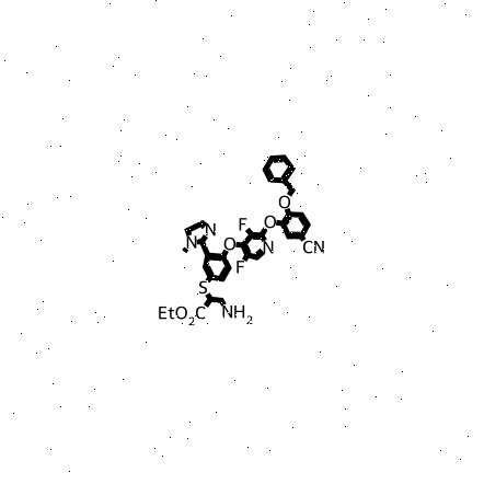 CCOC(=O)C(CN)Sc1ccc(Oc2c(F)cnc(Oc3cc(C#N)ccc3OCc3ccccc3)c2F)c(C2N=CCN2C)c1